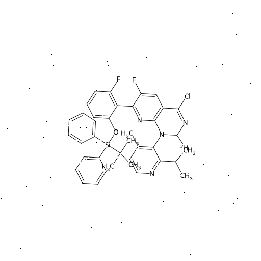 [2H]C1N=C(Cl)c2cc(F)c(-c3c(F)cccc3O[Si](c3ccccc3)(c3ccccc3)C(C)(C)C)nc2N1c1c(C)ccnc1C(C)C